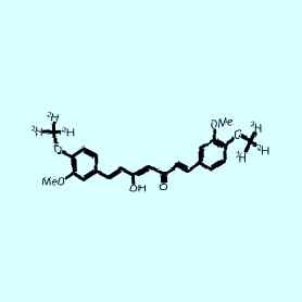 [2H]C([2H])([2H])Oc1ccc(C=CC(=O)C=C(O)C=Cc2ccc(OC([2H])([2H])[2H])c(OC)c2)cc1OC